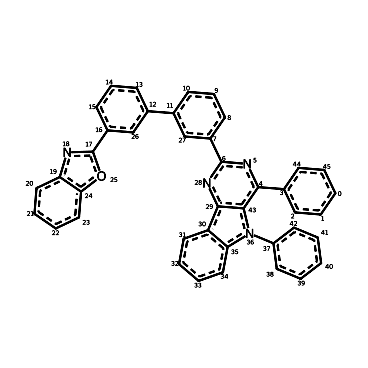 c1ccc(-c2nc(-c3cccc(-c4cccc(-c5nc6ccccc6o5)c4)c3)nc3c4ccccc4n(-c4ccccc4)c23)cc1